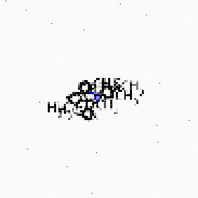 CC1=C=C=C(C)C(C2(C)c3c(C)cccc3C2(C)N(c2ccc(C(C)(C)C)cc2)c2ccccc2C)=C1C